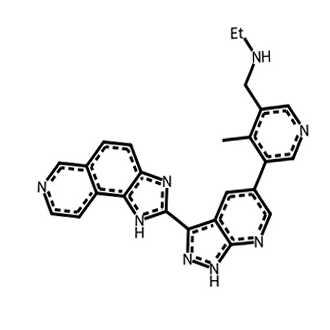 CCNCc1cncc(-c2cnc3[nH]nc(-c4nc5ccc6cnccc6c5[nH]4)c3c2)c1C